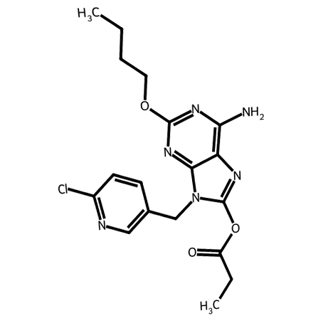 CCCCOc1nc(N)c2nc(OC(=O)CC)n(Cc3ccc(Cl)nc3)c2n1